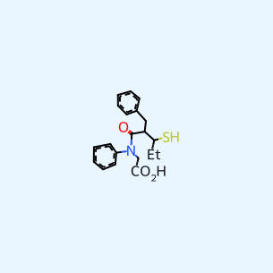 CCC(S)C(Cc1ccccc1)C(=O)N(CC(=O)O)c1ccccc1